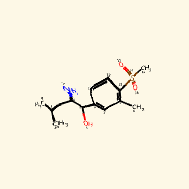 Cc1cc(C(O)C(N)C(C)C)ccc1S(C)(=O)=O